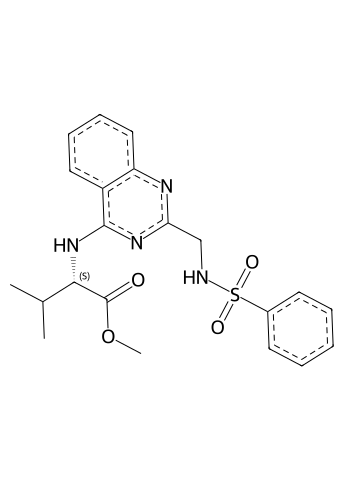 COC(=O)[C@@H](Nc1nc(CNS(=O)(=O)c2ccccc2)nc2ccccc12)C(C)C